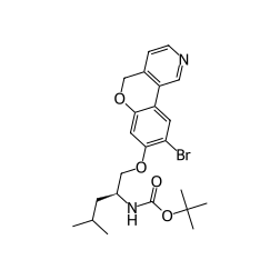 CC(C)C[C@@H](COc1cc2c(cc1Br)-c1cnccc1CO2)NC(=O)OC(C)(C)C